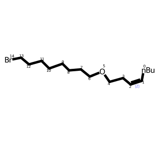 CCCC/C=C\CCO[CH]CCCCCCCBr